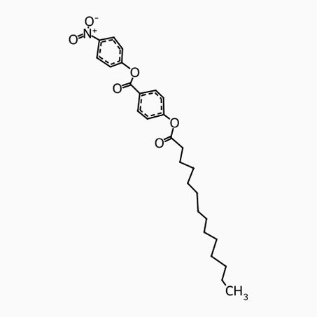 CCCCCCCCCCCCCC(=O)Oc1ccc(C(=O)Oc2ccc([N+](=O)[O-])cc2)cc1